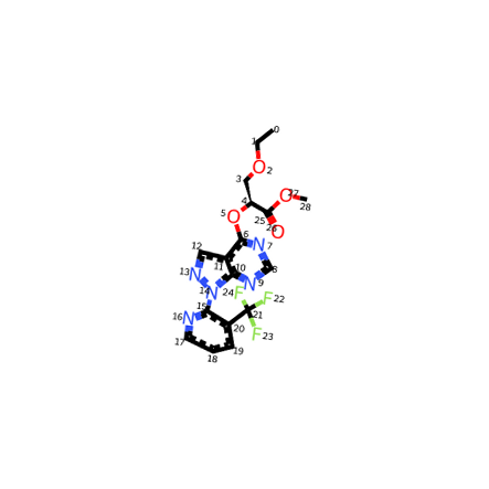 CCOC[C@H](Oc1ncnc2c1cnn2-c1ncccc1C(F)(F)F)C(=O)OC